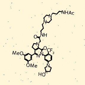 COc1cc(OC)cc(-c2nn(-c3cc(N4CC[C@H](O)C4)ccc3C(F)(F)F)c(=O)c3c2CCN3CC(=O)NCCCN2CCN(CCCNC(C)=O)CC2)c1